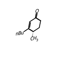 CCCCC1=CC(=O)CC[C@@H]1C